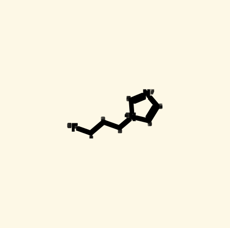 FCCCn1ccnc1